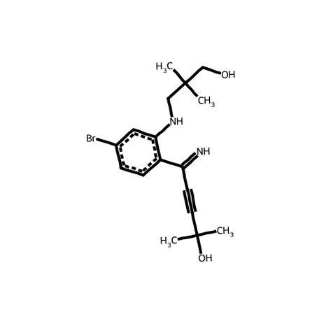 CC(C)(O)C#CC(=N)c1ccc(Br)cc1NCC(C)(C)CO